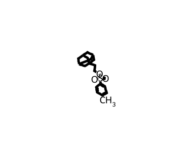 Cc1ccc(S(=O)(=O)OCCC23CC4CC(CC(C4)C2)C3)cc1